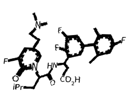 Cc1cc(F)cc(C)c1-c1cc(F)c(F)c(C(CC(=O)O)NC(=O)C(CC(C)C)n2cc(CCN(C)C)cc(F)c2=O)c1